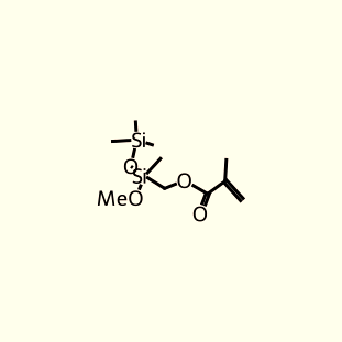 C=C(C)C(=O)OC[Si](C)(OC)O[Si](C)(C)C